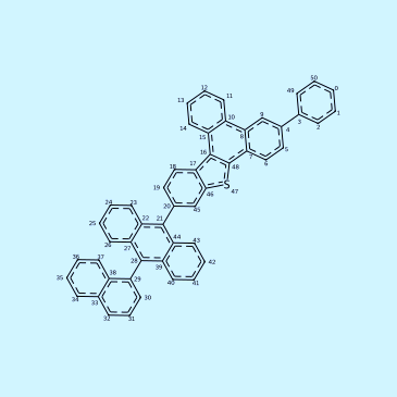 c1ccc(-c2ccc3c(c2)c2ccccc2c2c4ccc(-c5c6ccccc6c(-c6cccc7ccccc67)c6ccccc56)cc4sc32)cc1